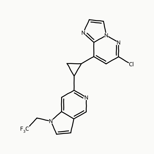 FC(F)(F)Cn1ccc2cnc(C3CC3c3cc(Cl)nn4ccnc34)cc21